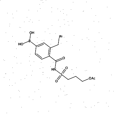 CC(=O)OCCCS(=O)(=O)NC(=O)c1ccc(B(O)O)cc1CC(C)C